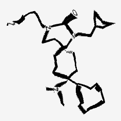 CN(C)[C@]1(c2ccccc2)CC[C@]2(CC1)CN(CC#N)C(=O)N2CC1CC1